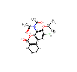 CC(=O)N(C(C)=O)c1c(OC(C)C)c(Cl)cc2c3c(c(=O)oc12)CCCC3